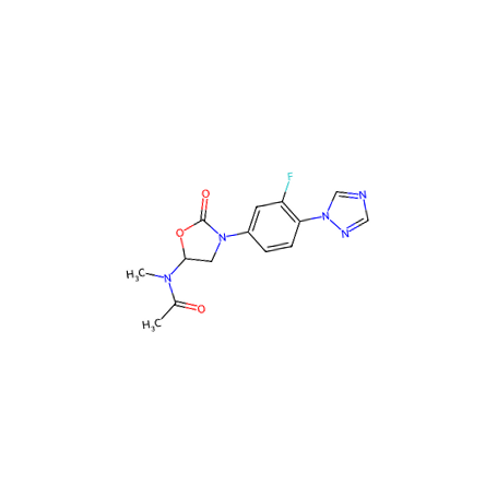 CC(=O)N(C)C1CN(c2ccc(-n3cncn3)c(F)c2)C(=O)O1